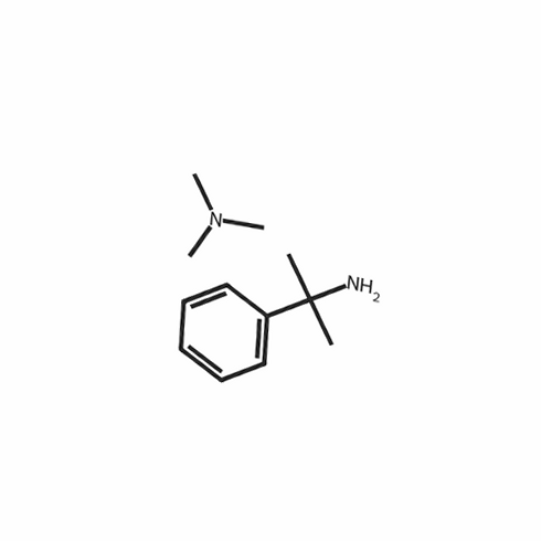 CC(C)(N)c1ccccc1.CN(C)C